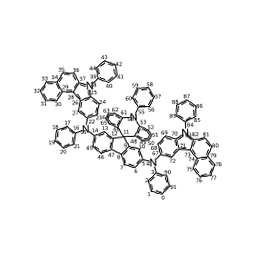 c1ccc(N(c2ccc3c(c2)C2(c4cc(N(c5ccccc5)c5ccc6c(c5)c5c7ccccc7ccc5n6-c5ccccc5)ccc4-3)c3ccccc3N(c3ccccc3)c3ccccc32)c2ccc3c(c2)c2c4ccccc4ccc2n3-c2ccccc2)cc1